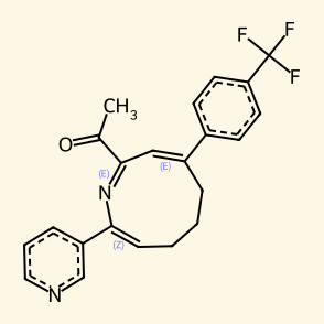 CC(=O)C1=N/C(c2cccnc2)=C\CCC/C(c2ccc(C(F)(F)F)cc2)=C\1